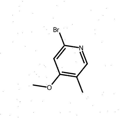 COc1cc(Br)ncc1C